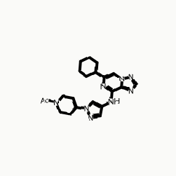 CC(=O)N1CCC(n2cc(Nc3nc(C4CCCCC4)cn4ncnc34)cn2)CC1